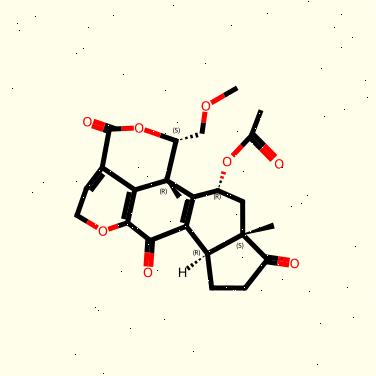 COC[C@H]1OC(=O)C2=CCOC3=C2[C@@]1(C)C1=C(C3=O)[C@@H]2CCC(=O)[C@@]2(C)C[C@H]1OC(C)=O